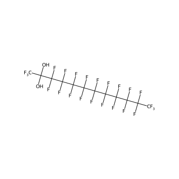 OC(O)(C(F)(F)F)C(F)(F)C(F)(F)C(F)(F)C(F)(F)C(F)(F)C(F)(F)C(F)(F)C(F)(F)C(F)(F)C(F)(F)F